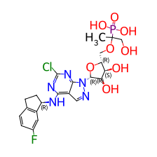 CC(CO)(OC[C@H]1O[C@@H](n2ncc3c(N[C@@H]4CCc5ccc(F)cc54)nc(Cl)nc32)[C@H](O)[C@@H]1O)P(=O)(O)O